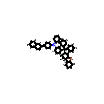 c1ccc(N(c2ccc(-c3ccc4ccccc4c3)cc2)c2cccc(C3(c4ccccc4)c4ccccc4-c4c3ccc3c4sc4ccccc43)c2)cc1